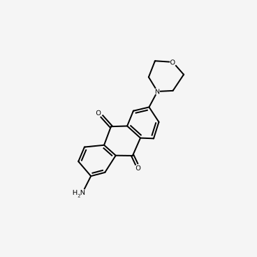 Nc1ccc2c(c1)C(=O)c1ccc(N3CCOCC3)cc1C2=O